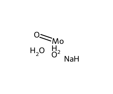 O.O.[NaH].[O]=[Mo]